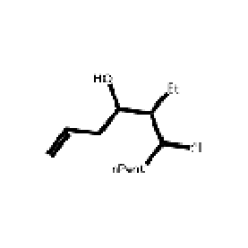 C=CCC(O)C(CC)C(Cl)CCCCC